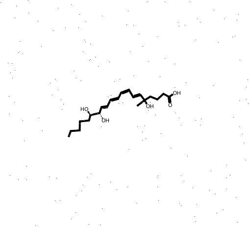 CCCCC[C@@H](O)[C@@H](O)/C=C/C=C/C=C\C=C\C(C)(O)CCCC(=O)O